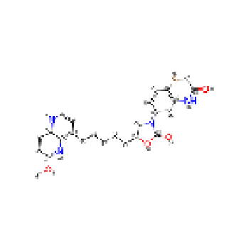 COc1ccc2nccc(CCCCCC3CN(c4ccc5c(c4)NC(=O)CS5)C(=O)O3)c2n1